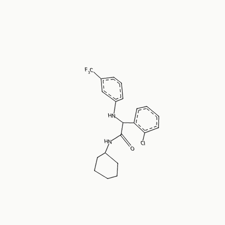 O=C(NC1CCCCC1)C(Nc1cccc(C(F)(F)F)c1)c1ccccc1Cl